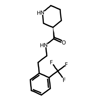 O=C(NCCc1ccccc1C(F)(F)F)[C@@H]1CCCNC1